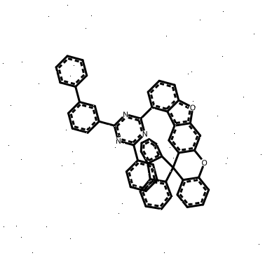 c1ccc(-c2cccc(-c3nc(-c4ccccc4)nc(-c4cccc5oc6cc7c(cc6c45)C4(c5ccccc5O7)c5ccccc5-c5ccccc54)n3)c2)cc1